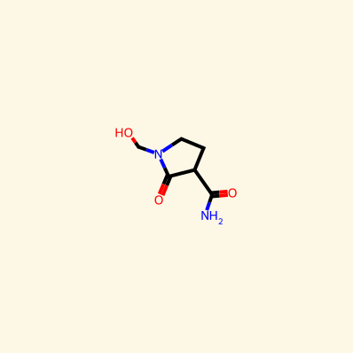 NC(=O)C1CCN(CO)C1=O